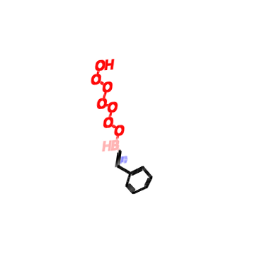 OOOOOOOB/C=C/c1ccccc1